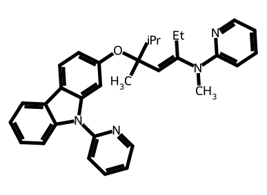 CC/C(=C\C(C)(Oc1ccc2c3ccccc3n(-c3ccccn3)c2c1)C(C)C)N(C)c1ccccn1